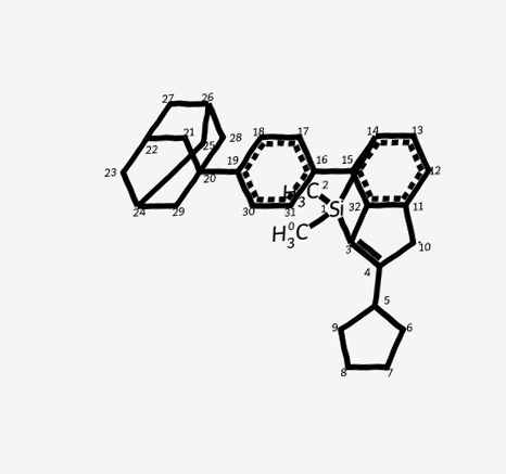 C[Si]1(C)C2=C(C3CCCC3)[CH]c3ccc1c(-c1ccc(C45CC6CC(CC(C6)C4)C5)cc1)c32